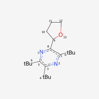 CC(C)(C)c1nc(C(C)(C)C)c(C(C)(C)C)nc1C1CCCO1